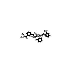 CCCN(CCC)C(=O)c1cccc(C(=O)N[C@@H](Cc2ccccc2)[C@H](O)CNCCc2ccccc2Cl)c1